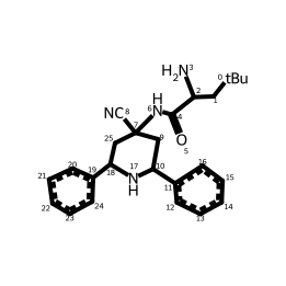 CC(C)(C)CC(N)C(=O)NC1(C#N)CC(c2ccccc2)NC(c2ccccc2)C1